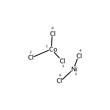 [Cl][Co]([Cl])[Cl].[Cl][Ni][Cl]